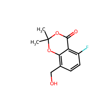 CC1(C)OC(=O)c2c(F)ccc(CO)c2O1